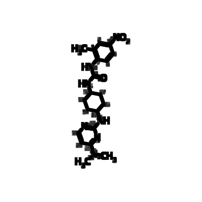 Cc1cc([N+](=O)[O-])ccc1NC(=O)NC1CCC(Nc2nccc(N(C)C)n2)CC1